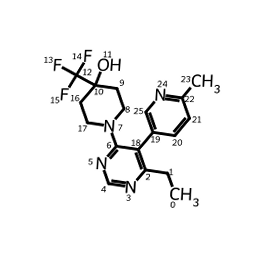 CCc1ncnc(N2CCC(O)(C(F)(F)F)CC2)c1-c1ccc(C)nc1